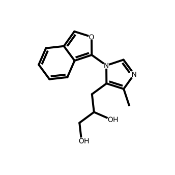 Cc1ncn(-c2occ3ccccc23)c1CC(O)CO